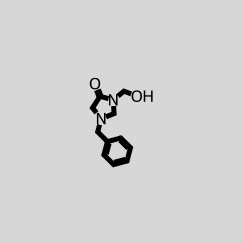 O=C1CN(Cc2ccccc2)CN1CO